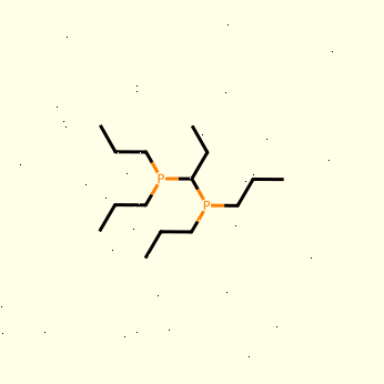 CCCP(CCC)C(CC)P(CCC)CCC